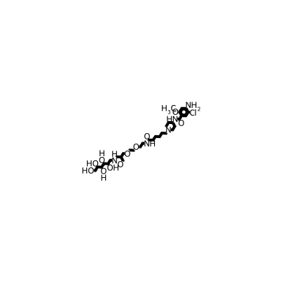 COc1cc(N)c(Cl)cc1C(=O)NC1CCN(CCCCCC(=O)NCCOCCOCC(C=O)CNC[C@H](O)[C@@H](O)[C@H](O)[C@H](O)CO)CC1